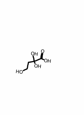 O=C(O)C(O)(O)CCO